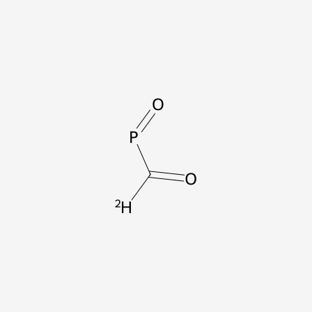 [2H]C(=O)P=O